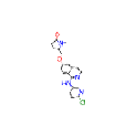 CN1C(=O)CCC1COc1ccc2c(Nc3ccc(Cl)nc3)nccc2c1